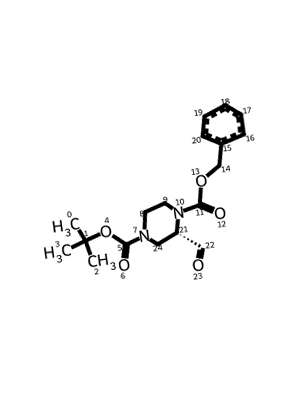 CC(C)(C)OC(=O)N1CCN(C(=O)OCc2ccccc2)[C@H](C=O)C1